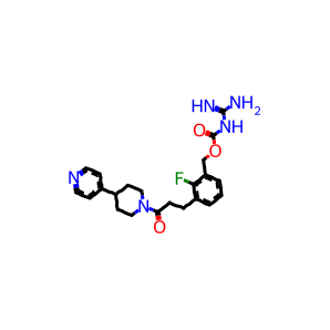 N=C(N)NC(=O)OCc1cccc(CCC(=O)N2CCC(c3ccncc3)CC2)c1F